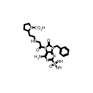 CCCS(=N)(=O)c1nc(N)c2c(n1)n(Cc1ccccc1)c(=O)n2C(=O)CNCCC1CCCN1C(=O)O